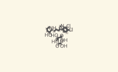 O=C(O)C(=O)O.O=C(O)C(=O)O.O[C@H]1CCCN[C@@H]1CCCn1cnc2c(Cl)c(Cl)ccc21